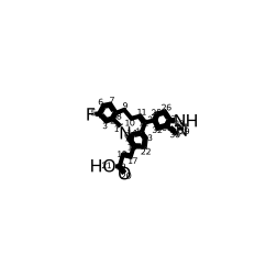 N#Cc1cc(F)ccc1CCC=C(c1ccc(C=CC(=O)O)cc1)c1ccc2[nH]ncc2c1